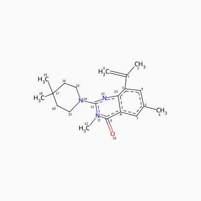 C=C(C)c1cc(C)cc2c(=O)n(C)c(N3CCC(C)(C)CC3)nc12